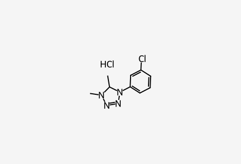 CC1N(C)N=NN1c1cccc(Cl)c1.Cl